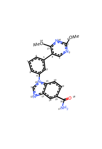 COc1ncc(-c2cccc(-n3cnc4cc(C(N)=O)ccc43)c2)c(OC)n1